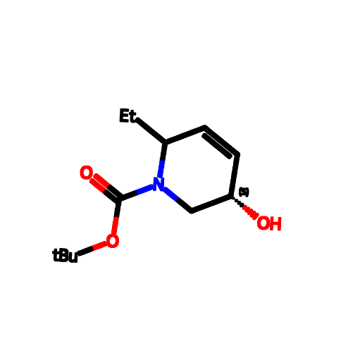 CCC1C=C[C@H](O)CN1C(=O)OC(C)(C)C